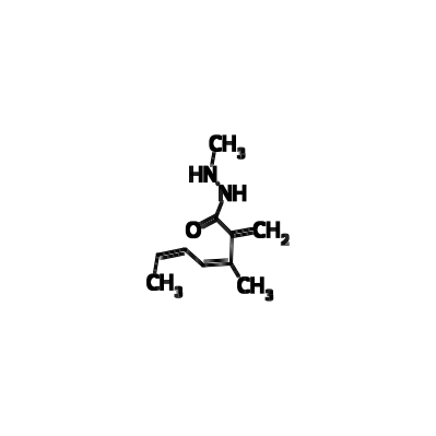 C=C(C(=O)NNC)/C(C)=C\C=C/C